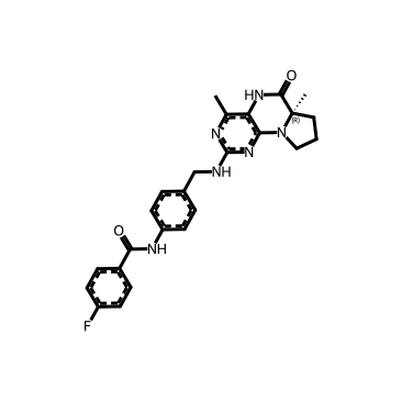 Cc1nc(NCc2ccc(NC(=O)c3ccc(F)cc3)cc2)nc2c1NC(=O)[C@@]1(C)CCCN21